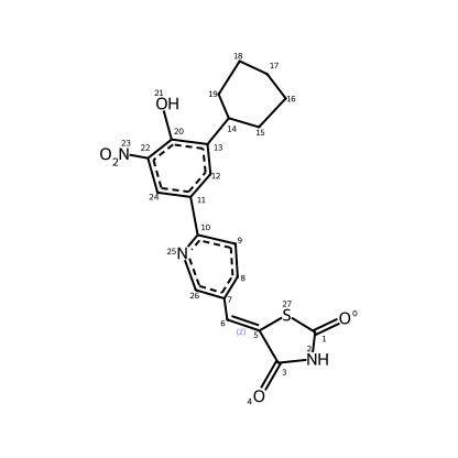 O=C1NC(=O)/C(=C/c2ccc(-c3cc(C4CCCCC4)c(O)c([N+](=O)[O-])c3)nc2)S1